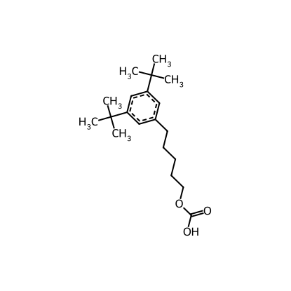 CC(C)(C)c1cc(CCCCCOC(=O)O)cc(C(C)(C)C)c1